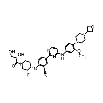 COc1cc(Nc2ccnc(-c3ccc(O[C@H]4CCN(C(=O)[C@@H](O)CO)C[C@H]4F)c(C#N)c3)n2)ccc1N1CCN(C2COC2)CC1